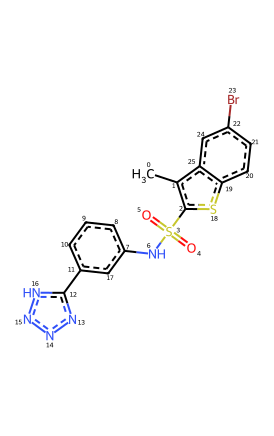 Cc1c(S(=O)(=O)Nc2cccc(-c3nnn[nH]3)c2)sc2ccc(Br)cc12